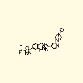 Fc1cc(-c2nnc(C(F)F)o2)ccc1Cn1cc(-c2ccnc(N3CCN(C4CCC4)CC3)c2)nn1